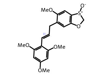 COc1cc(OC)c(/C=C/Cc2cc3c(cc2OC)[S+]([O-])CO3)c(OC)c1